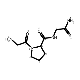 NCC(=O)N1CCCC1C(=O)NCC(N)=S